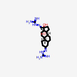 C[C@]12CCC(=NNC(=N)N)CC1CC[C@@H]1[C@H]2CC[C@]2(C)C(O)(C=NNC(=N)N)CC[C@@]12O